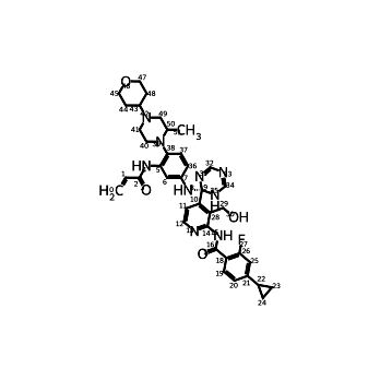 C=CC(=O)Nc1cc(N[C@]2(c3ccnc(NC(=O)c4ccc(C5CC5)cc4F)c3CO)N=CN=CN2)ccc1N1CCN(C2CCOCC2)CC1C